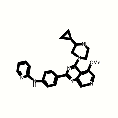 COc1cncc2nc(-c3ccc(Nc4ccccn4)cc3)nc(N3CCNC(C4CC4)C3)c12